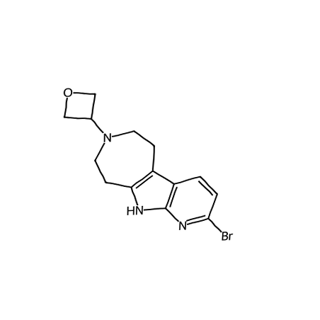 Brc1ccc2c3c([nH]c2n1)CCN(C1COC1)CC3